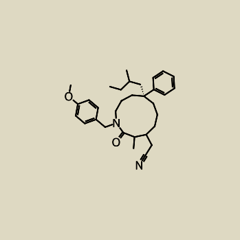 CCC(C)C[C@]1(c2ccccc2)CCCC(CC#N)C(C)C(=O)N(Cc2ccc(OC)cc2)CCC1